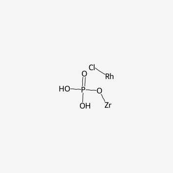 O=P(O)(O)[O][Zr].[Cl][Rh]